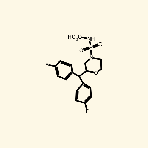 O=C(O)NS(=O)(=O)N1CCOC(C(c2ccc(F)cc2)c2ccc(F)cc2)C1